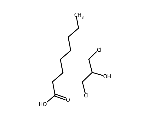 CCCCCCCC(=O)O.OC(CCl)CCl